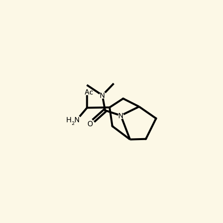 CC(=O)C(N)C1CC2CCC(C1)N2C(=O)N(C)C